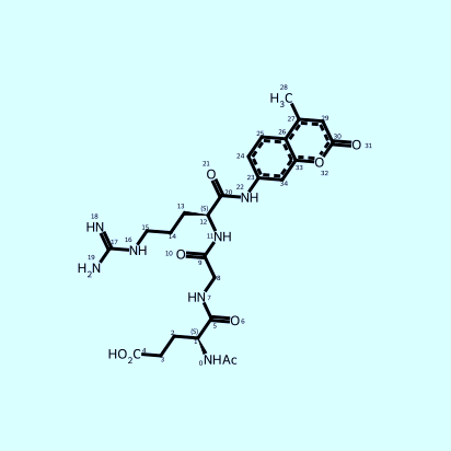 CC(=O)N[C@@H](CCC(=O)O)C(=O)NCC(=O)N[C@@H](CCCNC(=N)N)C(=O)Nc1ccc2c(C)cc(=O)oc2c1